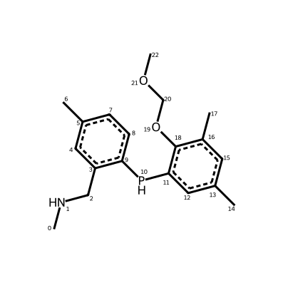 CNCc1cc(C)ccc1Pc1cc(C)cc(C)c1OCOC